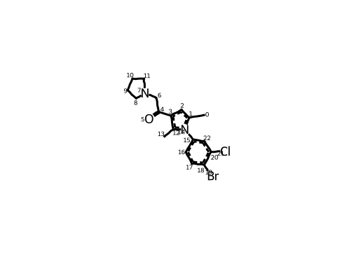 Cc1cc(C(=O)CN2CCCC2)c(C)n1-c1ccc(Br)c(Cl)c1